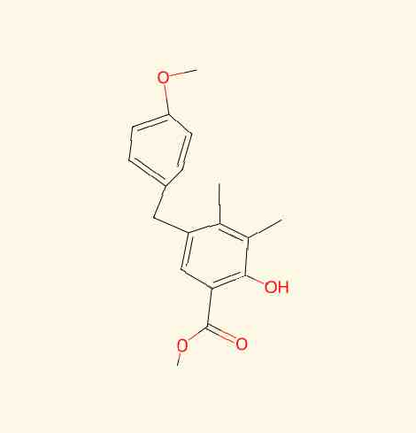 COC(=O)c1cc(Cc2ccc(OC)cc2)c(C)c(C)c1O